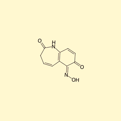 O=C1CC=CC2=C(C=CC(=O)/C2=N\O)N1